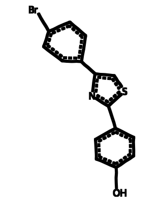 Oc1ccc(-c2nc(-c3ccc(Br)cc3)cs2)cc1